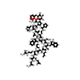 C=C(N[C@@H](CCNC(=O)C1CCCC1)C(=O)N[C@@H](Cc1c[nH]c2ccccc12)C(=O)N[C@@H](CO)C(=O)N[C@@H](Cc1c[nH]c2ccccc12)C(=O)N(C)[C@@H](CCCC)C(=O)N(C)[C@@H](CCCC)C(=O)N[C@@H](CCCNC(=N)N)C(=O)N[C@@H](CSCC(C)=O)C(=O)NCC(N)=O)[C@H](CC(C)OC)NC(=O)[C@H](Cc1cnc[nH]1)NC(=O)[C@@H]1CCCN1C(=O)[C@H](CC(N)=O)NC(=O)[C@H](C)N(C)C(=O)[C@H](Cc1ccccc1)NC